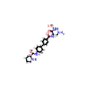 NC[C@H](NC(=O)c1ccc(-c2ccc(NC(=O)[C@@H]3CCCCN3)cc2)cc1)C(=O)NO